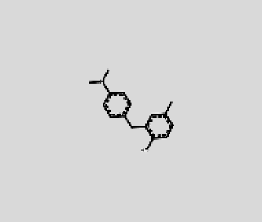 Cc1ccc(O)c(Cc2ccc(N(C)C)cc2)c1